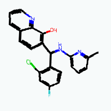 Cc1cccc(NC(c2ccc(F)cc2Cl)c2ccc3cccnc3c2O)n1